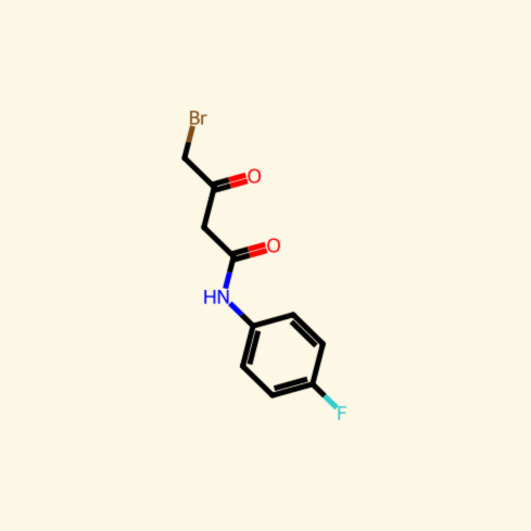 O=C(CBr)CC(=O)Nc1ccc(F)cc1